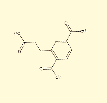 O=C(O)CCc1cc(C(=O)O)ccc1C(=O)O